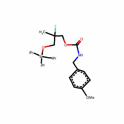 COc1ccc(CNC(=O)OCC(C)(F)CO[Si](C(C)C)(C(C)C)C(C)C)cc1